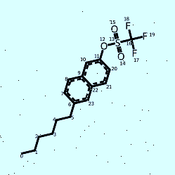 CCCCCCc1ccc2cc(OS(=O)(=O)C(F)(F)F)ccc2c1